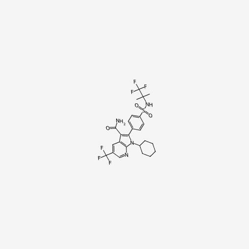 CC(C)(NS(=O)(=O)c1ccc(-c2c(C(N)=O)c3cc(C(F)(F)F)cnc3n2C2CCCCC2)cc1)C(F)(F)F